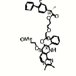 COCCO[C@@H]1c2ccn3c(C)c(C)nc3c2N[C@H](c2ccccc2)[C@H]1OC(=O)COCCOC(=O)[C@@H](C)c1ccc(-c2ccccc2)c(F)c1